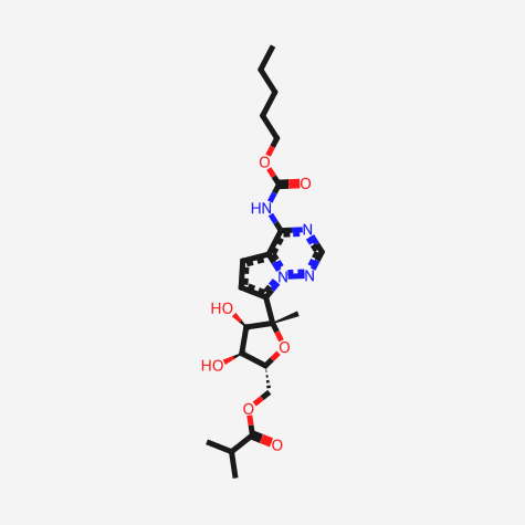 CCCCCOC(=O)Nc1ncnn2c([C@]3(C)O[C@H](COC(=O)C(C)C)[C@@H](O)[C@H]3O)ccc12